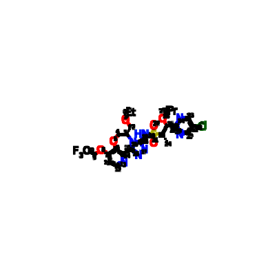 CCOC[C@H]1COc2c(OCC(F)(F)F)ccnc2-c2nnc(NS(=O)(=O)[C@@H](C)[C@@H](OC(C)C)c3ncc(Cl)cn3)n21